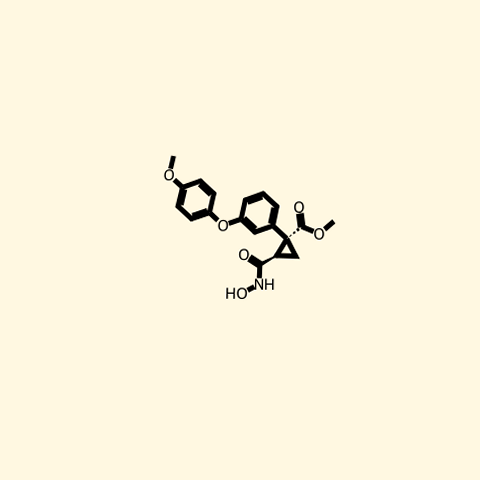 COC(=O)[C@]1(c2cccc(Oc3ccc(OC)cc3)c2)C[C@H]1C(=O)NO